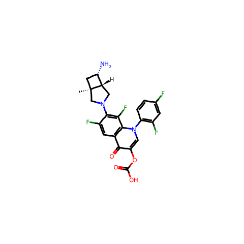 C[C@]12C[C@H](N)[C@@H]1CN(c1c(F)cc3c(=O)c(OC(=O)O)cn(-c4ccc(F)cc4F)c3c1F)C2